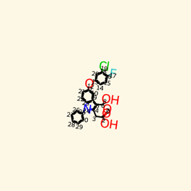 O=C(O)Cc1c(C(=O)O)c2cc(Oc3ccc(F)c(Cl)c3)ccc2n1-c1ccccc1